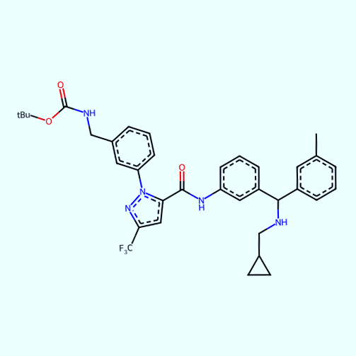 Cc1cccc(C(NCC2CC2)c2cccc(NC(=O)c3cc(C(F)(F)F)nn3-c3cccc(CNC(=O)OC(C)(C)C)c3)c2)c1